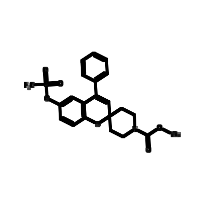 CC(C)(C)OC(=O)N1CCC2(C=C(c3ccccc3)c3cc(OS(=O)(=O)C(F)(F)F)ccc3O2)CC1